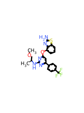 COC[C@H](C)Nc1nc(Oc2cccc3sc(N)nc23)cc(-c2ccc(C(F)(F)F)cc2)n1